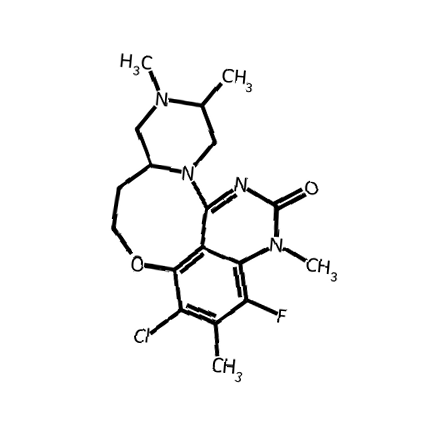 Cc1c(Cl)c2c3c(nc(=O)n(C)c3c1F)N1CC(C)N(C)CC1CCO2